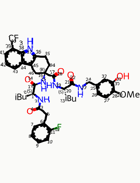 CCC(C)[C@H](NC(=O)Cc1ccccc1F)C(=O)N[C@]1(C(=O)N[C@H](C(=O)NCc2ccc(OC)c(O)c2)C(C)CC)CCc2[nH]c3c(C(F)(F)F)cccc3c2C1